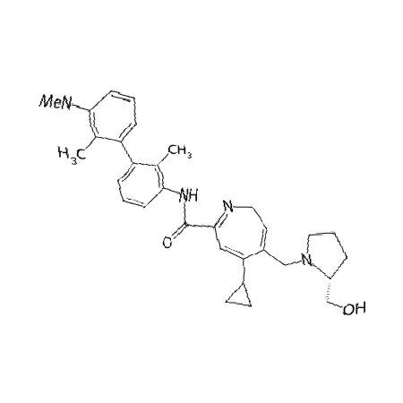 CNc1cccc(-c2cccc(NC(=O)C3=NCC=C(CN4CCC[C@@H]4CO)C(C4CC4)=C3)c2C)c1C